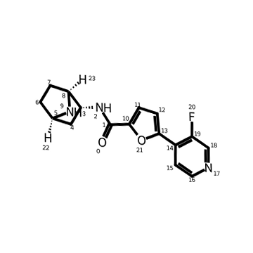 O=C(N[C@@H]1C[C@H]2CC[C@@H]1N2)c1ccc(-c2ccncc2F)o1